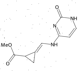 COC(=O)C1CC1=CNc1cc[nH]c(=O)n1